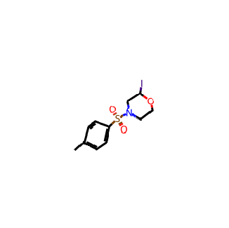 Cc1ccc(S(=O)(=O)N2CCOC(I)C2)cc1